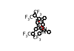 FC(F)(F)c1cc(-c2ccc3c(c2)c2ccccc2n3-c2ccncc2-c2cc(-c3nc(-c4ccccc4)nc(-c4ccccc4)n3)ccc2-n2c3ccccc3c3cc(-c4cc(C(F)(F)F)cc(C(F)(F)F)c4)ccc32)cc(C(F)(F)F)c1